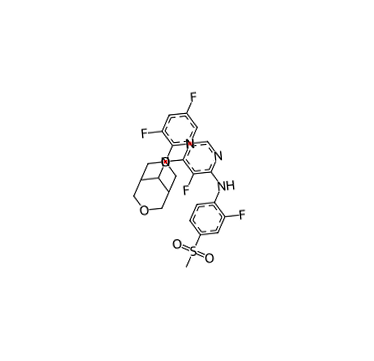 CS(=O)(=O)c1ccc(Nc2ncnc(OC3C4COCC3CN(c3ncc(F)cc3F)C4)c2F)c(F)c1